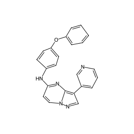 c1ccc(Oc2ccc(Nc3ccn4ncc(-c5cccnc5)c4n3)cc2)cc1